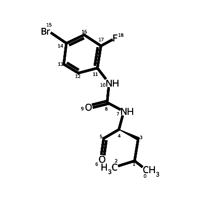 CC(C)C[C@@H](C=O)NC(=O)Nc1ccc(Br)cc1F